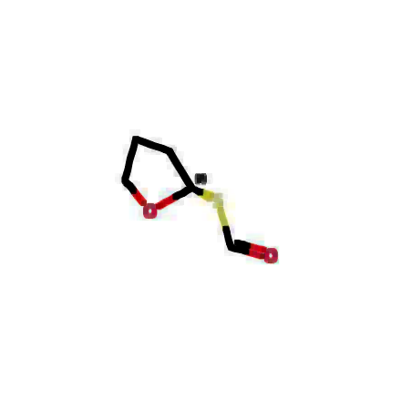 O=CS[C@@H]1CCCO1